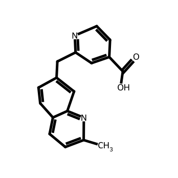 Cc1ccc2ccc(Cc3cc(C(=O)O)ccn3)cc2n1